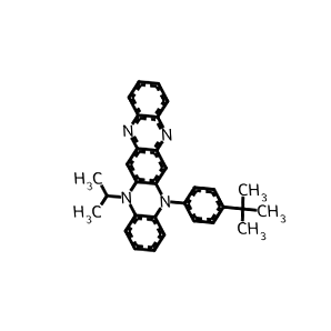 CC(C)N1c2ccccc2N(c2ccc(C(C)(C)C)cc2)c2cc3nc4ccccc4nc3cc21